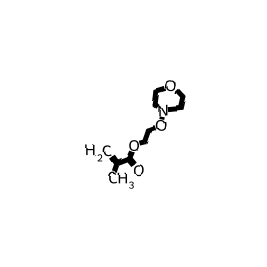 C=C(C)C(=O)OCCON1CCOCC1